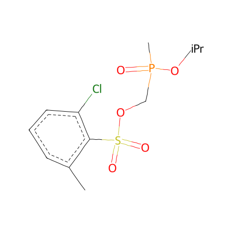 Cc1cccc(Cl)c1S(=O)(=O)OCP(C)(=O)OC(C)C